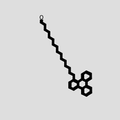 O=CCCCCCCCCCCCCCCCc1cccc2c3ccccc3c3ccccc3c12